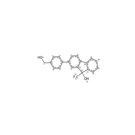 OCc1ccc(-c2ccc3c(c2)C(O)(C(F)(F)F)c2ccccc2-3)cc1